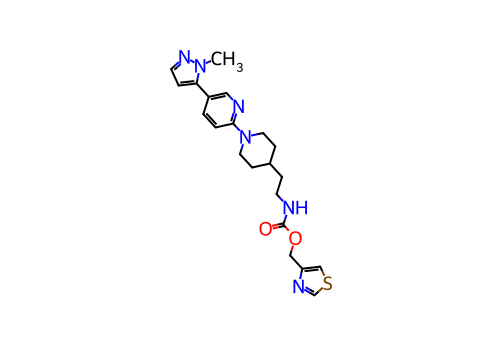 Cn1nccc1-c1ccc(N2CCC(CCNC(=O)OCc3cscn3)CC2)nc1